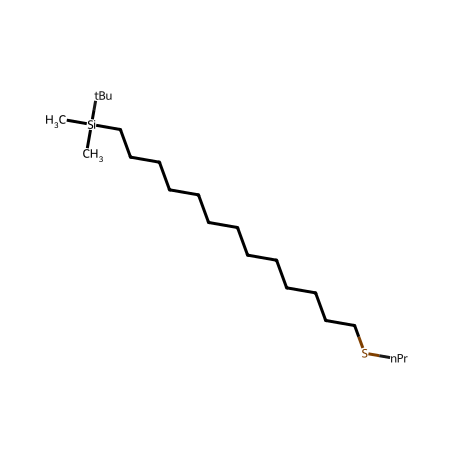 CCCSCCCCCCCCCCCCC[Si](C)(C)C(C)(C)C